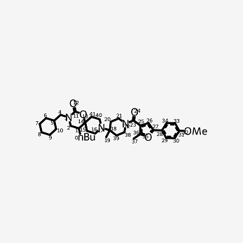 CCCCC1CN(CC2CCCCC2)C(=O)OC12CCN(C1(C)CCN(C(=O)c3cc(-c4ccc(OC)cc4)oc3C)CC1)CC2